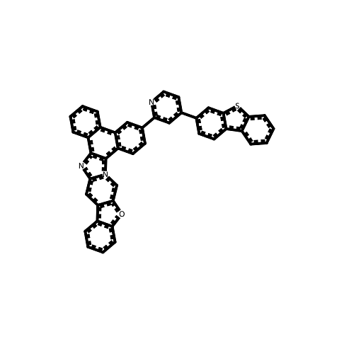 c1ccc2c(c1)oc1cn3c(cc12)nc1c2ccccc2c2cc(-c4cc(-c5ccc6c(c5)sc5ccccc56)ccn4)ccc2c13